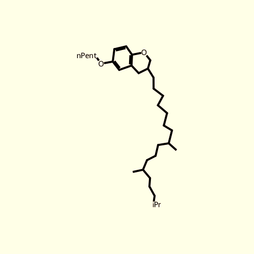 CCCCCOc1ccc2c(c1)CC(CCCCCCCC(C)CCCC(C)CCCC(C)C)CO2